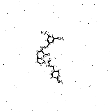 Cc1cc(C)cc(CNc2cnc3n(c2=O)[C@H](C(=O)NCc2ccc(N)nc2)CC3)c1